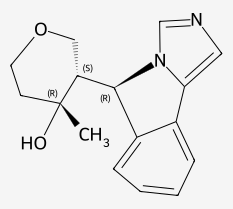 C[C@@]1(O)CCOC[C@@H]1[C@@H]1c2ccccc2-c2cncn21